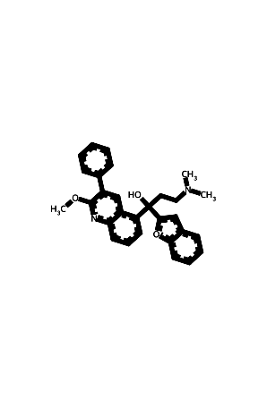 COc1nc2cccc(C(O)(CCN(C)C)c3cc4ccccc4o3)c2cc1-c1ccccc1